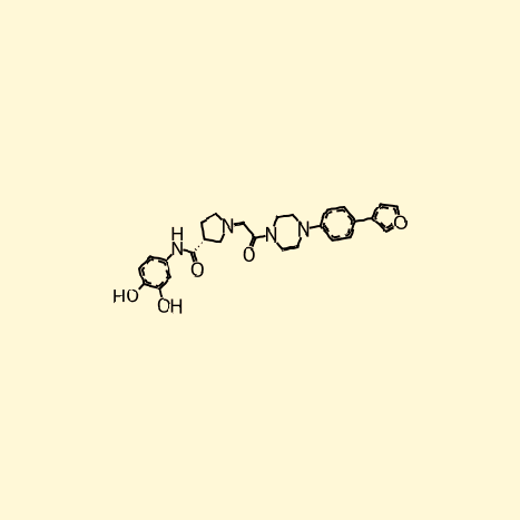 O=C(Nc1ccc(O)c(O)c1)[C@@H]1CCN(CC(=O)N2CCN(c3ccc(-c4ccoc4)cc3)CC2)C1